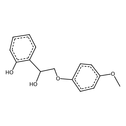 COc1ccc(OCC(O)c2ccccc2O)cc1